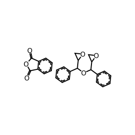 O=C1OC(=O)c2ccccc21.c1ccc(C(OC(c2ccccc2)C2CO2)C2CO2)cc1